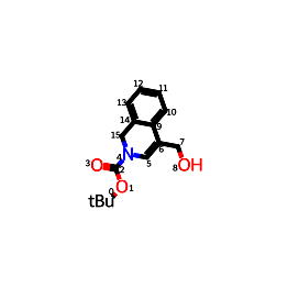 CC(C)(C)OC(=O)N1C=C(CO)c2ccccc2C1